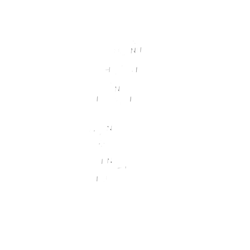 CNC(=O)C1[C@H]2CN(c3c(F)cc(N4C[C@H](CNC(C)=O)OC4=O)cc3F)C[C@@H]12